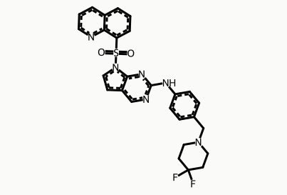 O=S(=O)(c1cccc2cccnc12)n1ccc2cnc(Nc3ccc(CN4CCC(F)(F)CC4)cc3)nc21